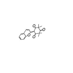 CC1(C)C(=O)C(=C2C=Cc3ccccc3O2)C(=O)C(C)(C)C1=O